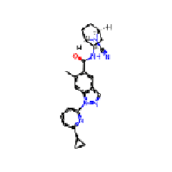 Cc1cc2c(cnn2-c2cccc(C3CC3)n2)cc1C(=O)N[C@@H]1C[C@@H]2CC[C@H]1N2C#N